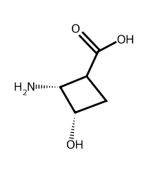 N[C@@H]1C(C(=O)O)C[C@@H]1O